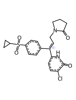 O=C1CCCN1C/C=C(\c1ccc(S(=O)(=O)C2CC2)cc1)c1ccc(Cl)c(=O)[nH]1